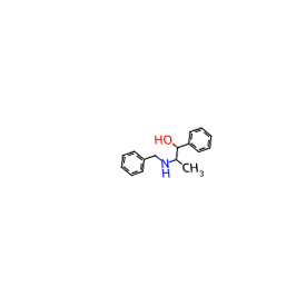 CC(NCc1ccccc1)[C@@H](O)c1ccccc1